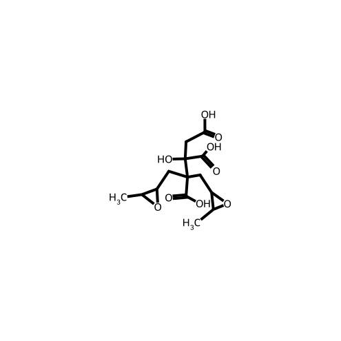 CC1OC1CC(CC1OC1C)(C(=O)O)C(O)(CC(=O)O)C(=O)O